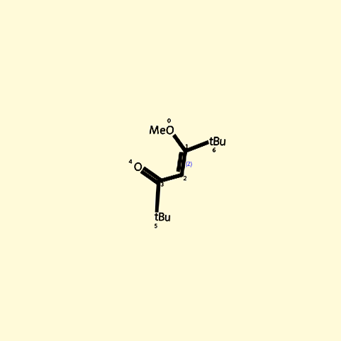 CO/C(=C\C(=O)C(C)(C)C)C(C)(C)C